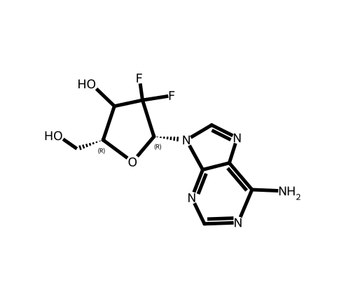 Nc1ncnc2c1ncn2[C@@H]1O[C@H](CO)C(O)C1(F)F